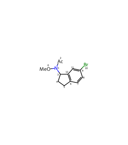 CON(C(C)=O)C1CCc2ccc(Br)cc21